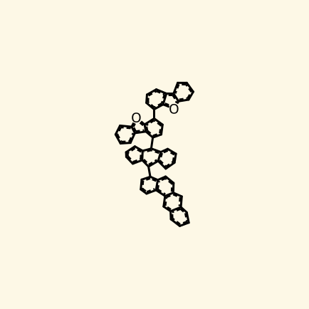 c1ccc2cc3c(ccc4c(-c5c6ccccc6c(-c6ccc(-c7cccc8c7oc7ccccc78)c7oc8ccccc8c67)c6ccccc56)cccc43)cc2c1